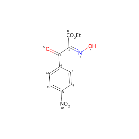 CCOC(=O)C(=NO)C(=O)c1ccc([N+](=O)[O-])cc1